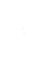 CCCCCC(CCCC)(C(=O)O)C(C(=O)O)=C1CCCC1